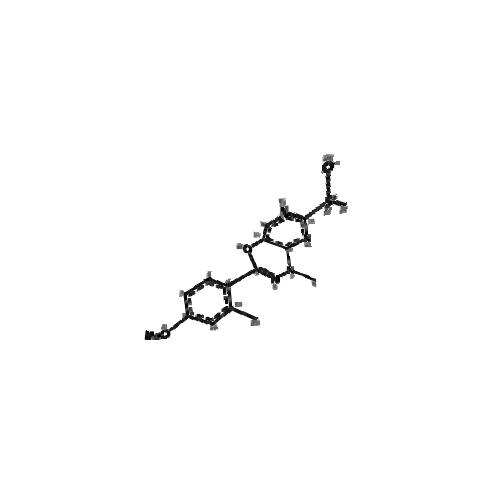 COc1ccc(C2=NN(C)c3nc([S+](C)[O-])ncc3O2)c(C)c1